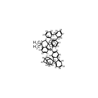 CC1(C)CCC(C)(C)c2c(N(c3ccc(-c4ccccc4-c4ccccc4)cc3)c3ccc4c(c3)C3(c5ccccc5-4)C4CC5CC(C4)CC3C5)cccc21